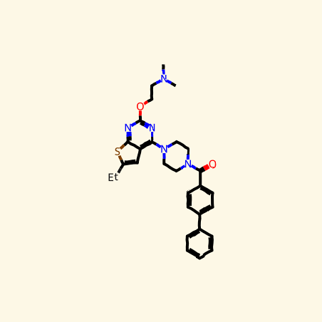 CCc1cc2c(N3CCN(C(=O)c4ccc(-c5ccccc5)cc4)CC3)nc(OCCN(C)C)nc2s1